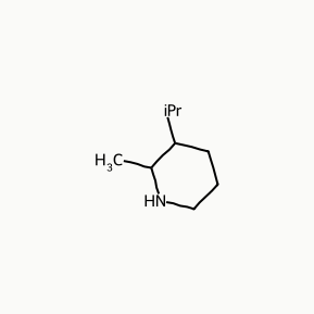 CC(C)C1CCCNC1C